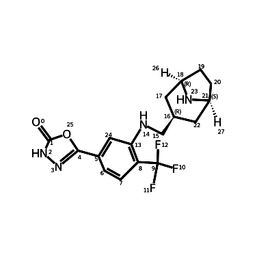 O=c1[nH]nc(-c2ccc(C(F)(F)F)c(NC[C@H]3C[C@H]4CC[C@@H](C3)N4)c2)o1